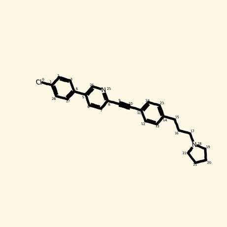 Clc1ccc(-c2ccc(C#Cc3ccc(CCCN4CCCC4)cc3)nc2)cc1